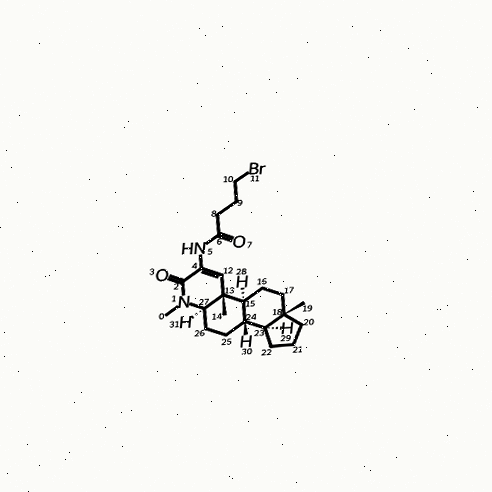 CN1C(=O)C(NC(=O)CCCBr)=C[C@]2(C)[C@H]3CC[C@]4(C)CCC[C@H]4[C@@H]3CC[C@@H]12